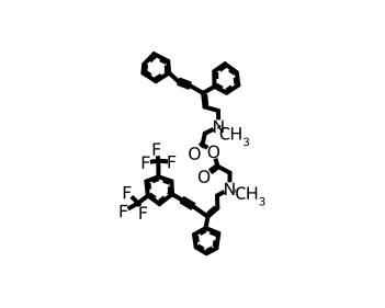 CN(CC=C(C#Cc1ccccc1)c1ccccc1)CC(=O)OC(=O)CN(C)CC=C(C#Cc1cc(C(F)(F)F)cc(C(F)(F)F)c1)c1ccccc1